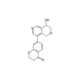 O=C1CCOc2cc(-c3cncc4c3COCC4O)ccc21